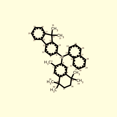 Cc1cc2c(cc1N(c1ccc3c(c1)C(C)(C)c1ccccc1-3)c1cccc3ccccc13)C(C)(C)CCC2(C)C